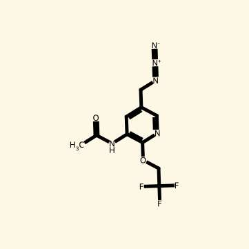 CC(=O)Nc1cc(CN=[N+]=[N-])cnc1OCC(F)(F)F